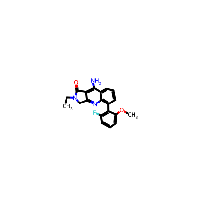 CCN1Cc2nc3c(-c4c(F)cccc4OC)cccc3c(N)c2C1=O